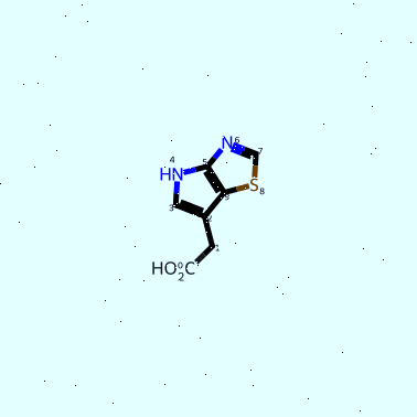 O=C(O)Cc1c[nH]c2ncsc12